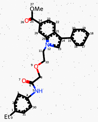 CCc1ccc(NC(=O)COCCn2cc(-c3ccccc3)c3ccc(C(=O)OC)cc32)cc1